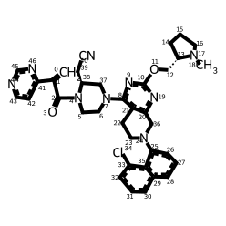 C=C(C(=O)N1CCN(c2nc(OC[C@@H]3CCCN3C)nc3c2CCN(c2cccc4cccc(Cl)c24)C3)C[C@@H]1CC#N)c1ccncn1